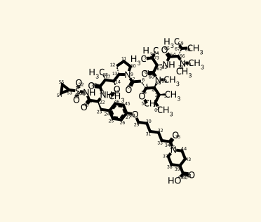 CC[C@H](C)[C@@H]([C@@H](CC(=O)N1CCC[C@H]1[C@H](OC)[C@@H](C)C(=O)N[C@@H](Cc1ccc(OCCCCCC(=O)N2CCC(C(=O)O)CC2)cc1)C(=O)NS(=O)(=O)C1CC1)OC)N(C)C(=O)[C@@H](NC(=O)[C@H](C(C)C)N(C)C)C(C)C